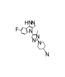 Cc1nc(N2CCC(C#N)CC2)ncc1-n1c2ccc(F)cc2c2[nH]ncc21